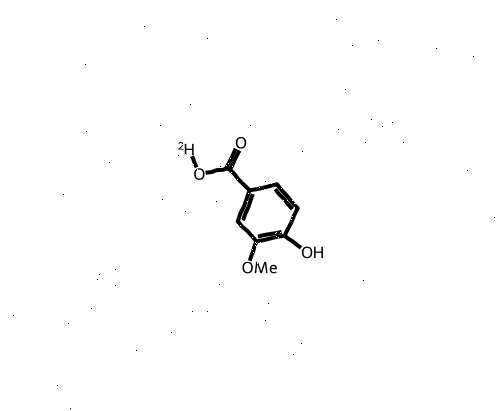 [2H]OC(=O)c1ccc(O)c(OC)c1